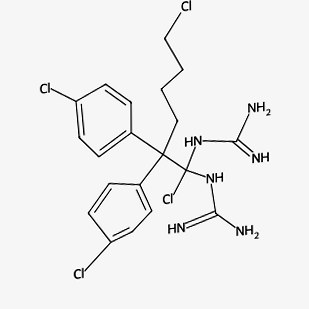 N=C(N)NC(Cl)(NC(=N)N)C(CCCCCl)(c1ccc(Cl)cc1)c1ccc(Cl)cc1